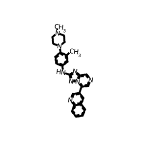 Cc1cc(Nc2nc3cncc(-c4cnc5ccccc5c4)n3n2)ccc1N1CCN(C)CC1